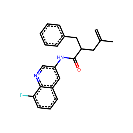 C=C(C)CC(Cc1ccccc1)C(=O)Nc1cnc2c(F)cccc2c1